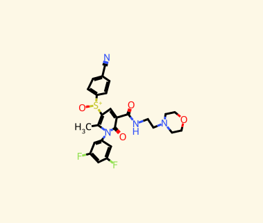 Cc1c([S+]([O-])c2ccc(C#N)cc2)cc(C(=O)NCCN2CCOCC2)c(=O)n1-c1cc(F)cc(F)c1